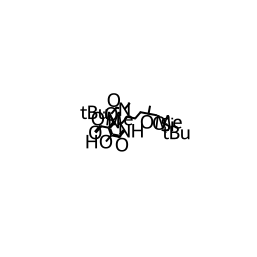 COC(=O)c1nc(C(CCC(C)(CO[Si](C)(C)C(C)(C)C)OC)N(C)C(=O)OC(C)(C)C)[nH]c(=O)c1O